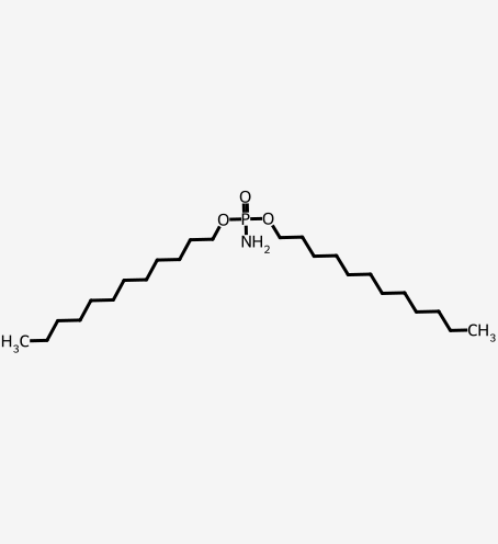 CCCCCCCCCCCCOP(N)(=O)OCCCCCCCCCCCC